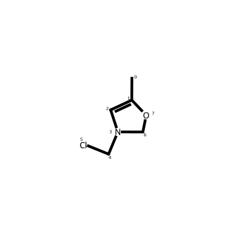 CC1=CN(CCl)CO1